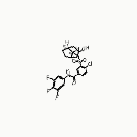 O=C(Nc1cc(F)c(F)c(F)c1)c1ccc(Cl)c(S(=O)(=O)C[C@@H]2C3CC[C@H]2CC(O)C3)c1